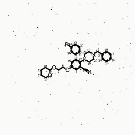 N#Cc1cc(OCCOC2CCCCO2)ccc1N1CCN(Cc2ccccc2)C[C@H]1c1ccc(F)cc1